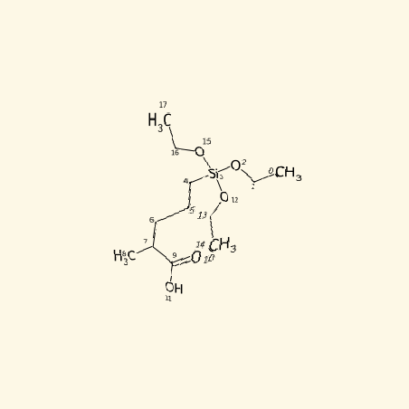 CCO[Si](CCCC(C)C(=O)O)(OCC)OCC